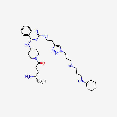 N[C@@H](CCC(=O)N1CCC(Nc2nc(NCCc3cn(CCCNCCCNC4CCCCC4)nn3)nc3ccccc23)CC1)C(=O)O